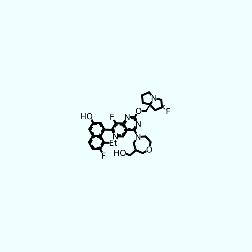 CCc1c(F)ccc2cc(O)cc(-c3ncc4c(N5CCOCC(CO)C5)nc(OC[C@@]56CCCN5C[C@H](F)C6)nc4c3F)c12